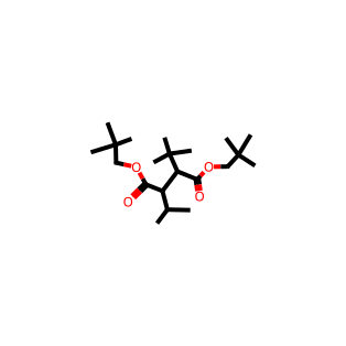 CC(C)C(C(=O)OCC(C)(C)C)C(C(=O)OCC(C)(C)C)C(C)(C)C